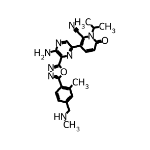 CNCc1ccc(-c2nnc(-c3nc(-c4ccc(=O)n(C(C)C)c4C#N)cnc3N)o2)c(C)c1